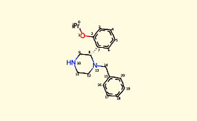 CC(C)Oc1ccccc1[C@H]1CNCCN1Cc1ccccc1